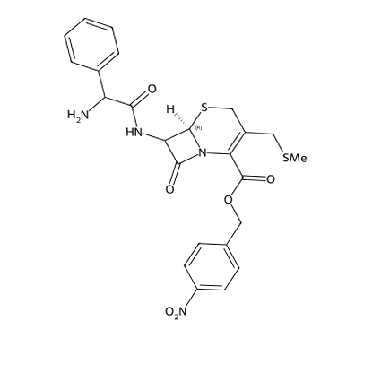 CSCC1=C(C(=O)OCc2ccc([N+](=O)[O-])cc2)N2C(=O)C(NC(=O)C(N)c3ccccc3)[C@H]2SC1